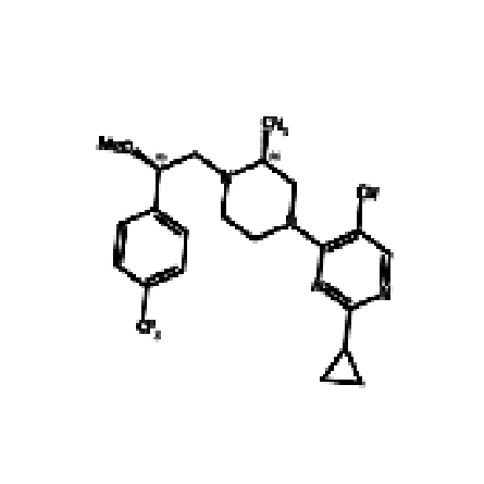 CO[C@@H](CN1CCN(c2nc(C3CC3)ncc2C#N)C[C@@H]1C)c1ccc(C(F)(F)F)cc1